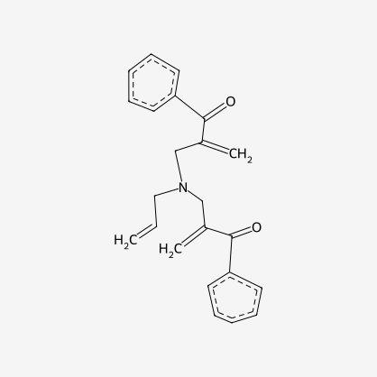 C=CCN(CC(=C)C(=O)c1ccccc1)CC(=C)C(=O)c1ccccc1